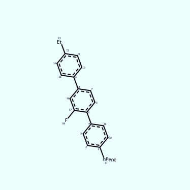 CCCCCc1ccc(-c2ccc(-c3ccc(CC)cc3)cc2F)cc1